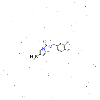 Bc1cc2n(c1)C(=O)N(Cc1ccc(F)c(F)c1)C2